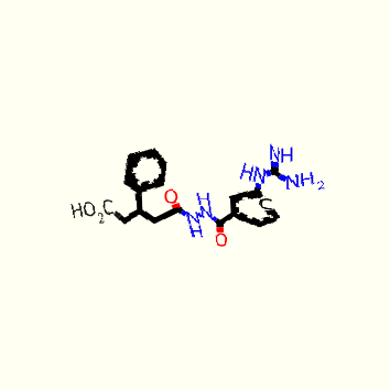 N=C(N)Nc1cccc(C(=O)NNC(=O)CC(CC(=O)O)c2ccccc2)c1